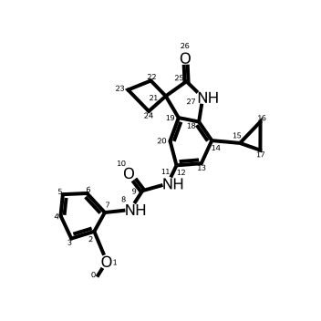 COc1ccccc1NC(=O)Nc1cc(C2CC2)c2c(c1)C1(CCC1)C(=O)N2